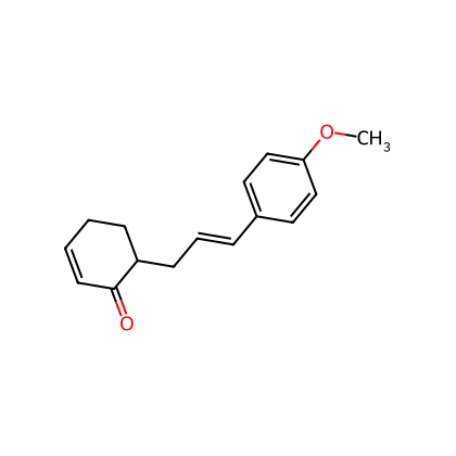 COc1ccc(C=CCC2CCC=CC2=O)cc1